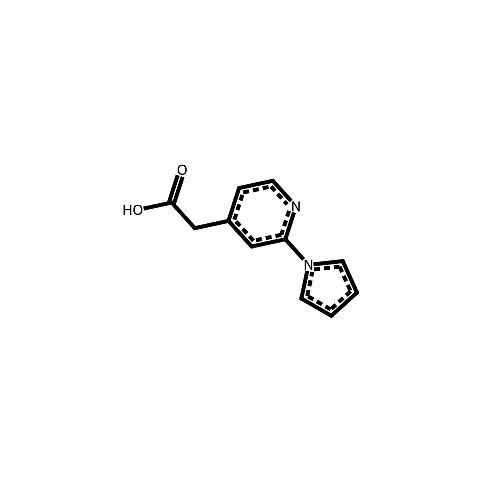 O=C(O)Cc1ccnc(-n2cccc2)c1